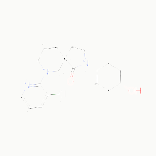 O=C1N([C@H]2CC[C@@H](O)CC2)CCC12CCCN(c1ncccc1Cl)C2